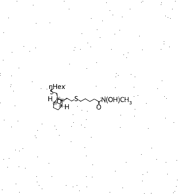 CCCCCCSC[C@H]1[C@@H](CCSCCCCC(=O)N(C)O)[C@H]2CC[C@@H]1O2